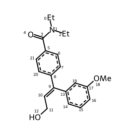 CCN(CC)C(=O)c1ccc(C(=CCO)c2cccc(OC)c2)cc1